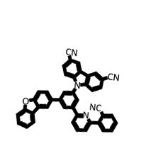 N#Cc1ccc2c(c1)c1cc(C#N)ccc1n2-c1cc(-c2ccc3oc4ccccc4c3c2)cc(-c2cccc(-c3ccccc3C#N)n2)c1